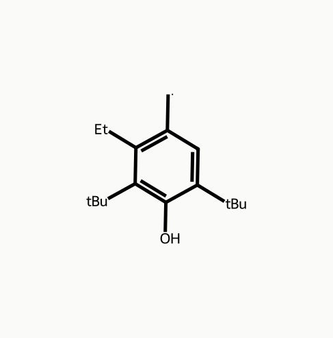 [CH2]c1cc(C(C)(C)C)c(O)c(C(C)(C)C)c1CC